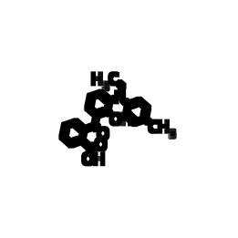 CCN(c1ccc(C)cc1)c1cccc(C(=O)c2ccccc2C(=O)O)c1O